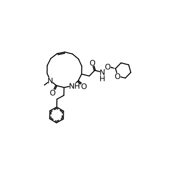 CN1CCCC=CCCCC(CC(=O)NO[C@H]2CCCCO2)C(=O)NC(CCc2ccccc2)C1=O